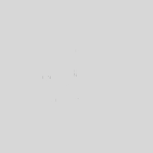 Cc1[c]cccc1NC(=O)C(C)N